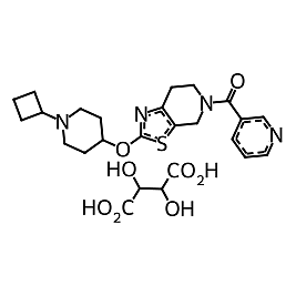 O=C(O)C(O)C(O)C(=O)O.O=C(c1cccnc1)N1CCc2nc(OC3CCN(C4CCC4)CC3)sc2C1